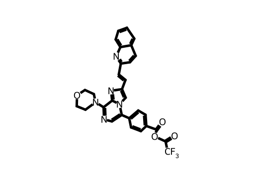 O=C(OC(=O)C(F)(F)F)c1ccc(-c2cnc(N3CCOCC3)c3nc(/C=C/c4ccc5ccccc5n4)cn23)cc1